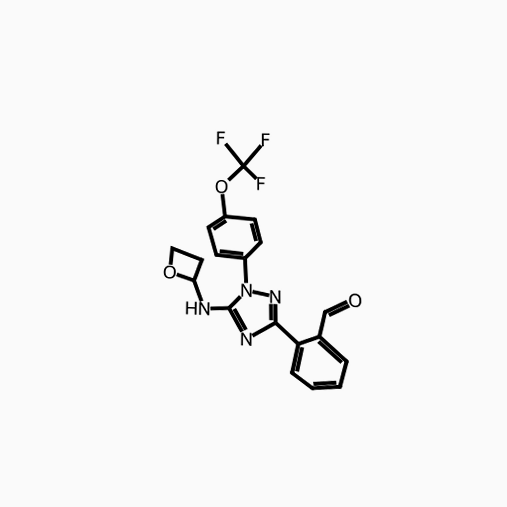 O=Cc1ccccc1-c1nc(NC2CCO2)n(-c2ccc(OC(F)(F)F)cc2)n1